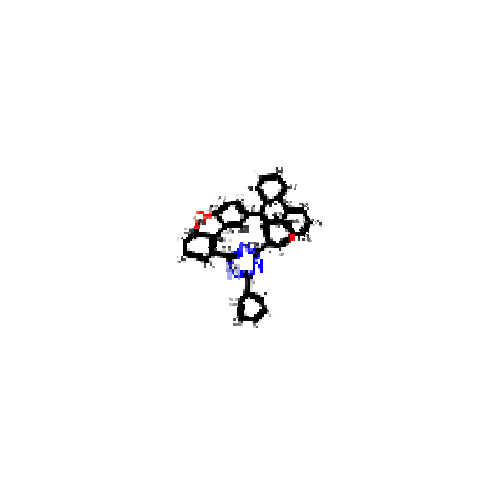 C1=CC(c2nc(-c3ccccc3)nc(-c3cccc4oc5ccc(-c6cc7ccccc7c7ccccc67)cc5c34)n2)=CCC1